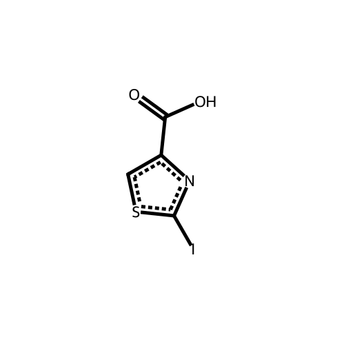 O=C(O)c1csc(I)n1